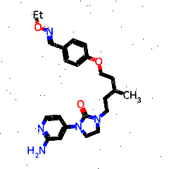 CCON=Cc1ccc(OCCC(C)CCN2CCN(c3ccnc(N)c3)C2=O)cc1